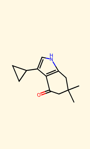 CC1(C)CC(=O)c2c(C3CC3)c[nH]c2C1